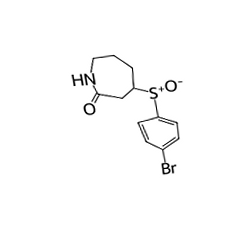 O=C1CC([S+]([O-])c2ccc(Br)cc2)CCCN1